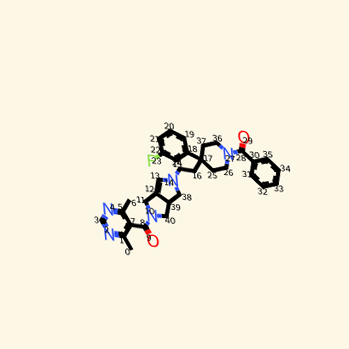 Cc1ncnc(C)c1C(=O)N1CC2=CN(CCC3(c4cccc(F)c4)CCN(C(=O)c4ccccc4)CC3)CC2C1